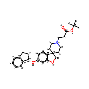 CC(C)(C)OC(=O)CCN1CCC2(CC1)COc1cc(O[C@H]3CCc4ccccc43)ccc12